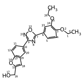 CCOc1ccc(-c2nc(-c3ccc4oc(CO)cc4c3)no2)cc1OCC